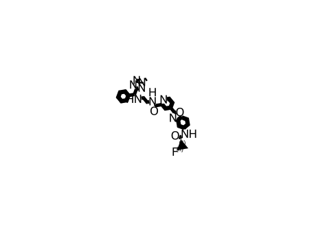 Cn1nnc(C(NCCNC(=O)c2cc(-c3nc4cc(NC(=O)[C@@H]5C[C@H]5F)ccc4o3)ccn2)c2ccccc2)n1